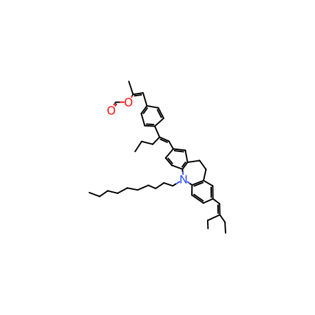 CCCCCCCCCCN1c2ccc(C=C(CC)CC)cc2CCc2cc(/C=C(\CCC)c3ccc(/C=C(/C)OC=O)cc3)ccc21